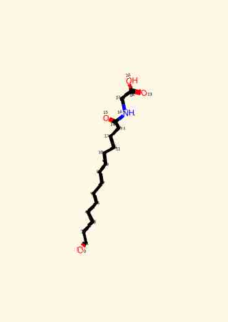 O=CCCCCCCCCCCCCC(=O)NCC(=O)O